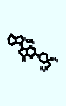 C[C@H]1Cc2ccccc2N1c1n[nH]c2nc(N3CCC(C)(CN)CC3)cnc12